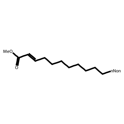 CCCCCCCCCCCCCCCCC/C=C/C(=O)OC